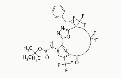 CC(C)(C)OC(=O)Nc1cc(C(F)(F)F)c2nc1-c1nnc(o1)C(OCc1ccccc1)(C(F)(F)F)CCC(F)(F)CCCC2=O